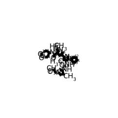 COCCN1C[C@@H](C)[C@H](NC(=O)Nc2c(C)c(-c3cnc(OC)c(C(=O)NC4CCS(=O)(=O)CC4)c3)nn2-c2ccccc2)C1